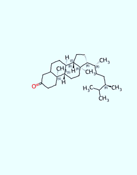 CC(C)[C@H](C)CC[C@@H](C)[C@H]1CC[C@H]2[C@@H]3CCC4CC(=O)CC[C@]4(C)[C@H]3CC[C@]12C